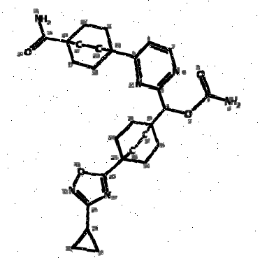 NC(=O)OC(c1nccc(C23CCC(C(N)=O)(CC2)CC3)n1)C12CCC(c3nc(C4CC4)no3)(CC1)CC2